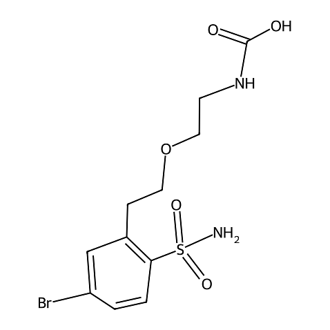 NS(=O)(=O)c1ccc(Br)cc1CCOCCNC(=O)O